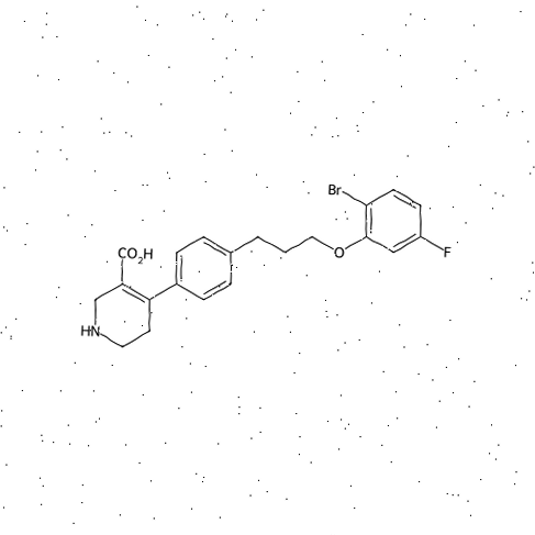 O=C(O)C1=C(c2ccc(CCCOc3cc(F)ccc3Br)cc2)CCNC1